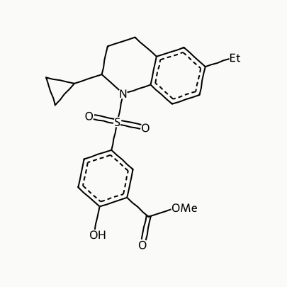 CCc1ccc2c(c1)CCC(C1CC1)N2S(=O)(=O)c1ccc(O)c(C(=O)OC)c1